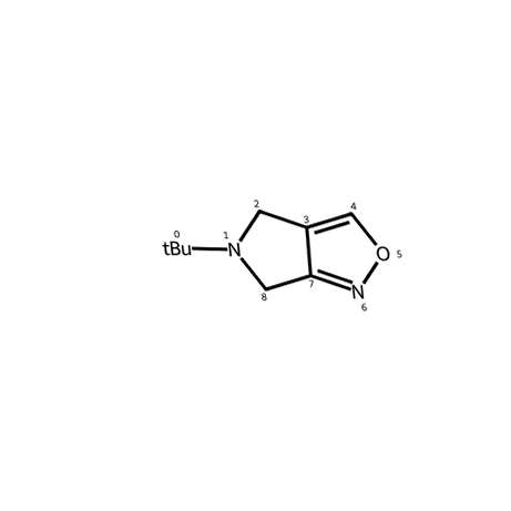 CC(C)(C)N1Cc2conc2C1